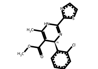 COC(=O)C1=C(C)NC(c2nccs2)=N[C@H]1c1ccccc1Cl